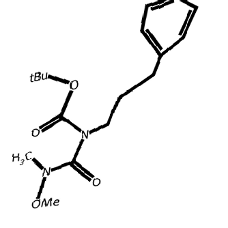 CON(C)C(=O)N(CCCc1ccccc1)C(=O)OC(C)(C)C